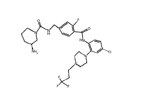 N[C@H]1CCCN(C(=O)NCc2ccc(C(=O)Nc3ccc(Cl)cc3N3CCN(CCC(F)(F)F)CC3)c(F)c2)C1